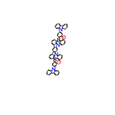 C1=CCC2C(=C1)c1ccccc1N2c1ccc2c(c1)Oc1cccc3c1B2c1cccc2c4cc5c6cccc7c6n(c5cc4n-3c12)-c1cccc2c1B7c1ccc(-n3c4ccccc4c4ccccc43)cc1O2